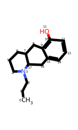 CCCN1CCCC2Cc3c(O)cccc3CC21